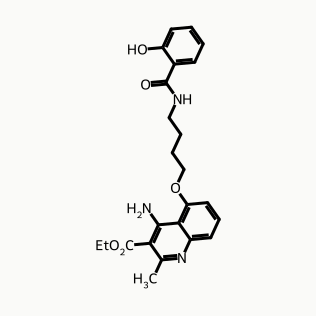 CCOC(=O)c1c(C)nc2cccc(OCCCCNC(=O)c3ccccc3O)c2c1N